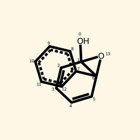 OC12C=CC=CC1(c1ccccc1)O2